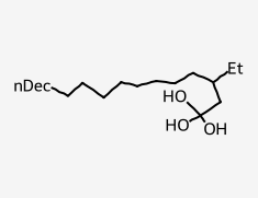 [CH2]CC(CCCCCCCCCCCCCCCCCC)CC(O)(O)O